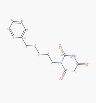 O=C1CC(=O)N(CCCCCc2ccccc2)C(=O)N1